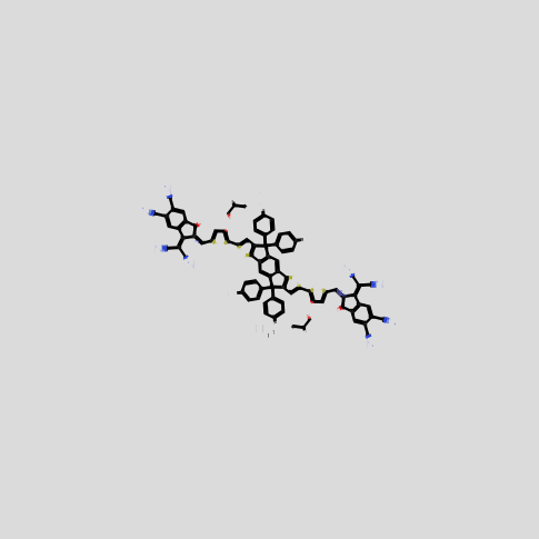 CCC(C)COc1cc(/C=C2\C(=O)c3cc(C#N)c(C#N)cc3C2=C(C#N)C#N)sc1-c1cc2c(s1)-c1cc3c(cc1C2(c1ccc(C)cc1)c1ccc(C)cc1)-c1sc(-c2sc(/C=C4\C(=O)c5cc(C#N)c(C#N)cc5C4=C(C#N)C#N)cc2OCC(C)CC)cc1C3(c1ccc(C)cc1)c1ccc(C)cc1